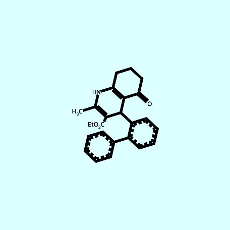 CCOC(=O)C1=C(C)NC2=C(C(=O)CCC2)C1c1ccccc1-c1ccccc1